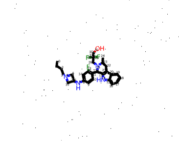 CCCCN1CC(Nc2ccc(C3c4[nH]c5ccccc5c4CC(C)N3CC(F)(F)CO)c(F)c2)C1